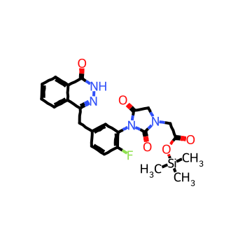 C[Si](C)(C)OC(=O)CN1CC(=O)N(c2cc(Cc3n[nH]c(=O)c4ccccc34)ccc2F)C1=O